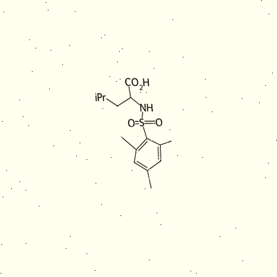 Cc1cc(C)c(S(=O)(=O)NC(CC(C)C)C(=O)O)c(C)c1